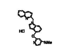 CNc1ccnc(Oc2cccc3c2ccn3Cc2ccc3ccccc3n2)c1.Cl